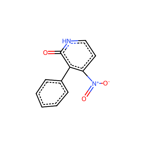 O=c1[nH]ccc([N+](=O)[O-])c1-c1ccccc1